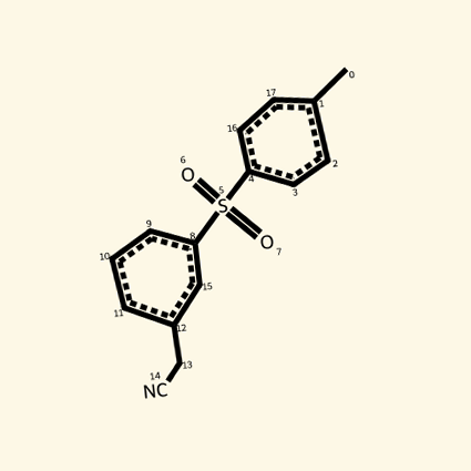 Cc1ccc(S(=O)(=O)c2cccc(CC#N)c2)cc1